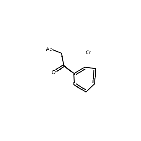 CC(=O)CC(=O)c1ccccc1.[Cr]